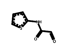 O=CC(=O)Nc1cccs1